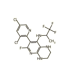 CC(Nc1c2c(nc(F)c1-c1ncc(Cl)cc1Cl)NCCN2)C(F)(F)F